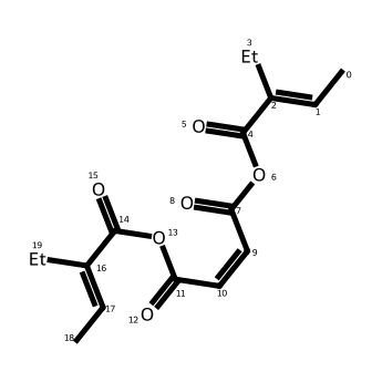 CC=C(CC)C(=O)OC(=O)/C=C\C(=O)OC(=O)C(=CC)CC